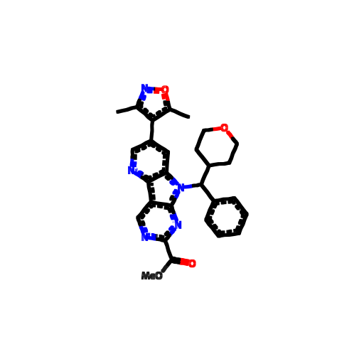 COC(=O)c1ncc2c3ncc(-c4c(C)noc4C)cc3n(C(c3ccccc3)C3CCOCC3)c2n1